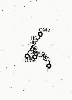 COc1ccc(CC(S)CNCCN(CC(S)Cc2ccc(OC)cc2)C(=O)CNc2cc(Cl)ccc2OCC(=O)N2CCN(Cc3ccc(F)cc3)C[C@H]2C)cc1